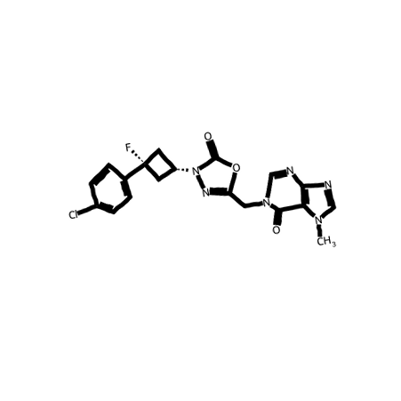 Cn1cnc2ncn(Cc3nn([C@H]4C[C@](F)(c5ccc(Cl)cc5)C4)c(=O)o3)c(=O)c21